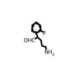 NCCCC(C=O)c1ccccc1F